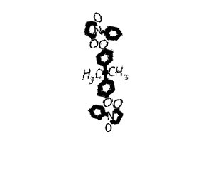 CC(C)(c1ccc(Oc2ccccc2N2C(=O)C=CC2=O)cc1)c1ccc(Oc2ccccc2N2C(=O)C=CC2=O)cc1